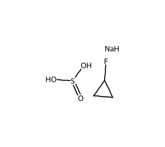 FC1CC1.O=S(O)O.[NaH]